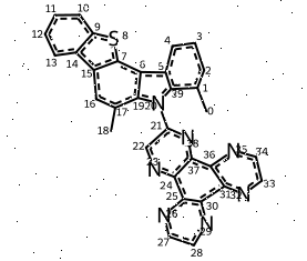 Cc1cccc2c3c4sc5ccccc5c4cc(C)c3n(-c3cnc4c5nccnc5c5nccnc5c4n3)c12